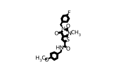 COc1ccc(CNC(=O)c2cc3c(=O)n(Cc4ccc(F)cc4)c(=O)n(C)c3s2)cc1